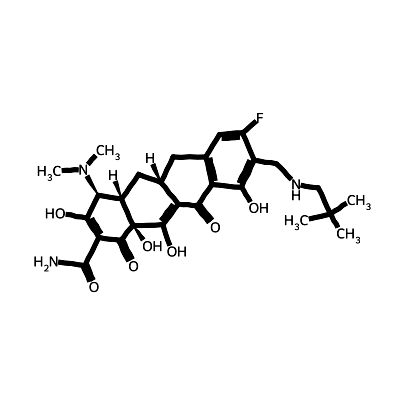 CN(C)[C@@H]1C(O)=C(C(N)=O)C(=O)[C@@]2(O)C(O)=C3C(=O)c4c(cc(F)c(CNCC(C)(C)C)c4O)C[C@H]3C[C@@H]12